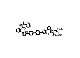 COC(=O)N[C@H](C(=O)N1CCC[C@H]1c1ncc(-c2ccc(-c3ccc(-c4cnc([C@H]5C6CCC(C6)[C@@H]5C(=O)NC(C)c5cnccn5)[nH]4)cc3)cc2)[nH]1)[C@@H](C)OC